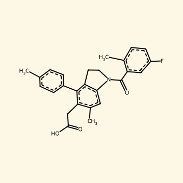 Cc1ccc(-c2c(CC(=O)O)c(C)cc3c2CCN3C(=O)c2cc(F)ccc2C)cc1